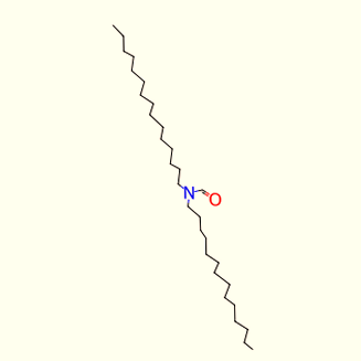 CCCCCCCCCCCCCCCN(C=O)CCCCCCCCCCCCCC